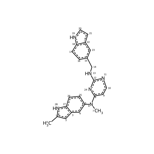 Cc1cc2cc(N(C)c3ccnc(NCc4ccc5[nH]ccc5c4)n3)ccc2[nH]1